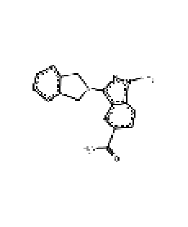 Cn1nc(N2Cc3ccccc3C2)c2cc(C(N)=O)ccc21